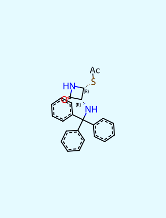 CC(=O)S[C@H]1NC(=O)[C@H]1NC(c1ccccc1)(c1ccccc1)c1ccccc1